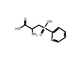 NC(CP(=O)(O)c1ccccn1)C(=O)O